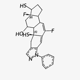 OC1C[C@]2(F)C(S)CCC2C2C=C(F)C3=Cc4c(cnn4-c4ccccc4)C[C@]3(S)C12